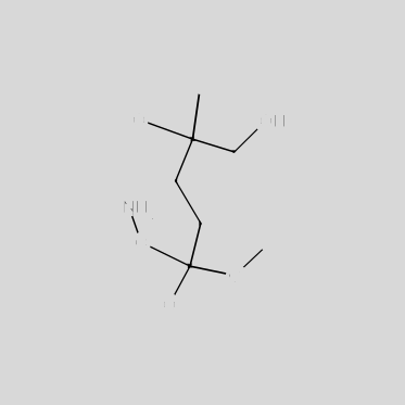 COC(O)(CCC(C)(O)CO)ON